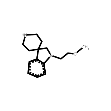 COCCN1CC2(CCNCC2)c2ccccc21